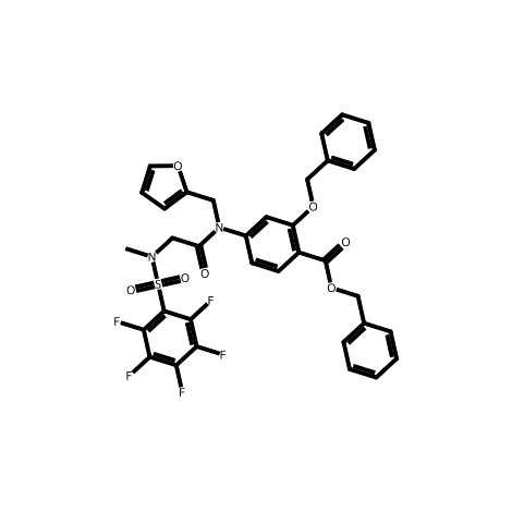 CN(CC(=O)N(Cc1ccco1)c1ccc(C(=O)OCc2ccccc2)c(OCc2ccccc2)c1)S(=O)(=O)c1c(F)c(F)c(F)c(F)c1F